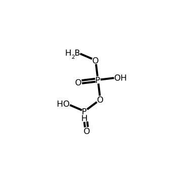 BOP(=O)(O)O[PH](=O)O